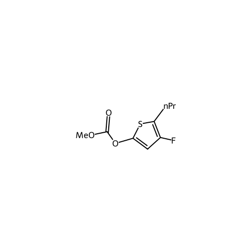 CCCc1sc(OC(=O)OC)cc1F